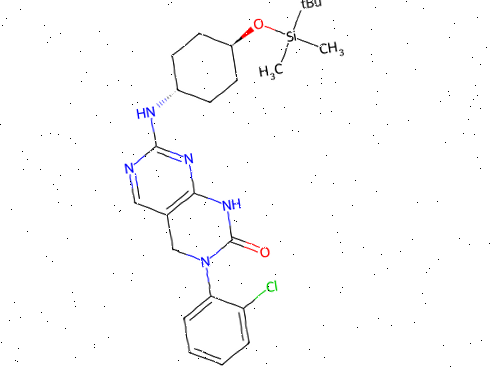 CC(C)(C)[Si](C)(C)O[C@H]1CC[C@H](Nc2ncc3c(n2)NC(=O)N(c2ccccc2Cl)C3)CC1